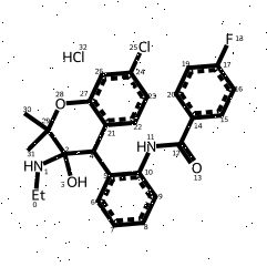 CCNC1(O)C(c2ccccc2NC(=O)c2ccc(F)cc2)c2ccc(Cl)cc2OC1(C)C.Cl